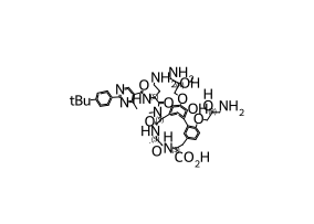 Cc1nc(-c2ccc(C(C)(C)C)cc2)ncc1C(=O)N[C@@H](CCN)C(=O)N(C)[C@@H]1C(=O)N[C@@H](C)C(=O)N[C@H](C(=O)O)Cc2ccc(OC[C@H](O)CN)c(c2)-c2cc1cc(OC[C@H](O)CN)c2O